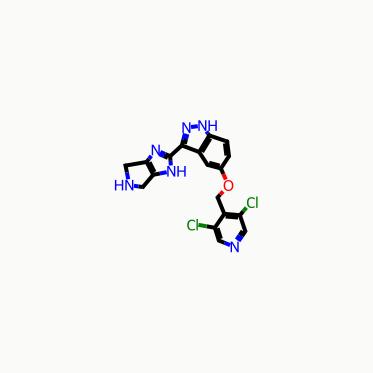 Clc1cncc(Cl)c1COc1ccc2[nH]nc(-c3nc4c([nH]3)CNC4)c2c1